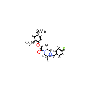 COc1ccc(OCC(=O)N2C[C@H](C)N(Cc3ccc(F)cc3)C[C@H]2C)c([N+](=O)[O-])c1